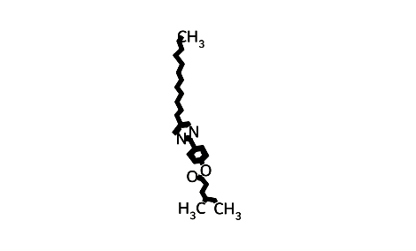 CCCCCCCCCCCCc1cnc(-c2ccc(OC(=O)CCC(C)CC)cc2)nc1